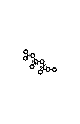 c1ccc(-c2ccc3c(c2)nc(-c2cccc(-c4cc(-c5cccc(-n6c7ccccc7c7ccccc76)c5)nc(-c5ccccc5)n4)c2)c2sc4ccccc4c23)cc1